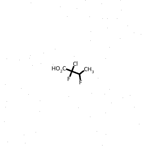 CC(F)C(F)(Cl)C(=O)O